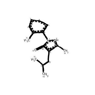 Cc1ccccc1-n1[nH]c(C)c(CC(C)C)c1=O